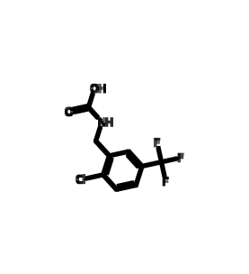 O=C(O)NCc1cc(C(F)(F)F)ccc1Cl